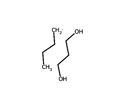 OCCCO.[CH2]CCC